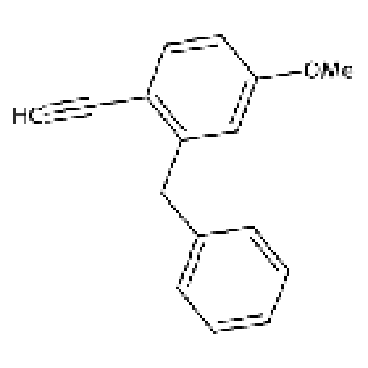 C#Cc1ccc(OC)cc1Cc1ccccc1